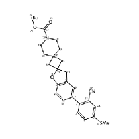 CSc1ccc(-c2cc3c(cn2)OC2(C3)CC3(CCN(C(=O)OC(C)(C)C)CC3)C2)c(C#N)c1